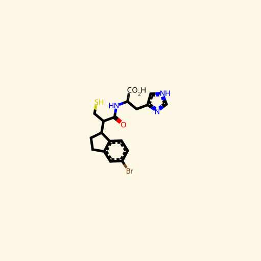 O=C(O)C(Cc1c[nH]cn1)NC(=O)C(CS)C1CCc2cc(Br)ccc21